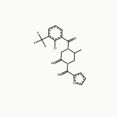 CC1CN(C(=N)c2ccco2)C(=N)CN1C(=O)c1cccc(C(F)(F)F)c1Cl